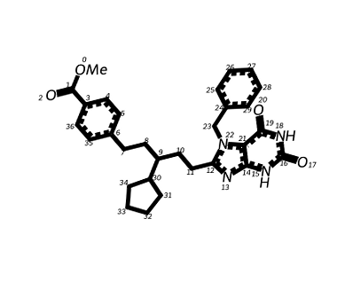 COC(=O)c1ccc(CCC(CCc2nc3[nH]c(=O)[nH]c(=O)c3n2Cc2ccccc2)C2CCCC2)cc1